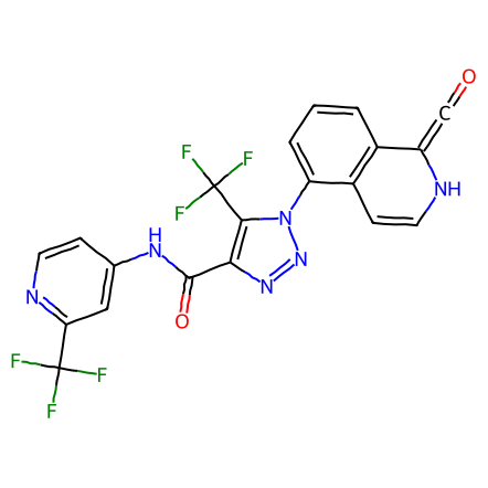 O=C=C1NC=Cc2c1cccc2-n1nnc(C(=O)Nc2ccnc(C(F)(F)F)c2)c1C(F)(F)F